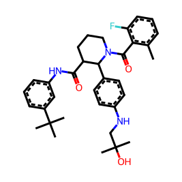 Cc1cccc(F)c1C(=O)N1CCCC(C(=O)Nc2cccc(C(C)(C)C)c2)C1c1ccc(NCC(C)(C)O)cc1